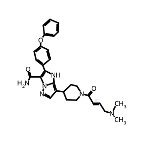 CN(C)C/C=C/C(=O)N1CCC(c2cnn3c(C(N)=O)c(-c4ccc(Oc5ccccc5)cc4)[nH]c23)CC1